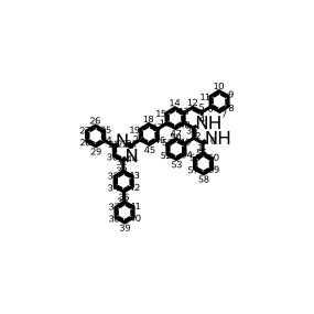 N=C(/C(=C1\NC(c2ccccc2)=Cc2ccc(-c3ccc(-c4nc(-c5ccccc5)cc(-c5ccc(-c6ccccc6)cc5)n4)cc3)cc21)c1ccccc1)c1ccccc1